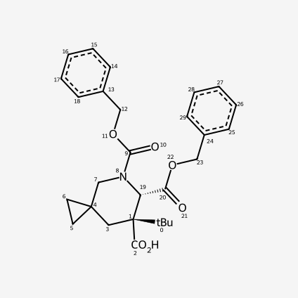 CC(C)(C)[C@@]1(C(=O)O)CC2(CC2)CN(C(=O)OCc2ccccc2)[C@@H]1C(=O)OCc1ccccc1